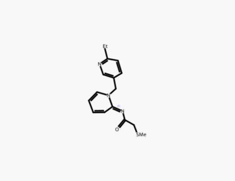 CCc1ccc(Cn2cccc/c2=N\C(=O)CSC)cn1